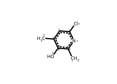 Cc1cc(Cl)nc(C)c1O